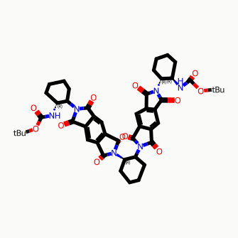 CC(C)(C)OC(=O)N[C@@H]1CCCCC1n1c(=O)c2cc3c(=O)n([C@@H]4CCCCC4n4c(=O)c5cc6c(=O)n([C@@H]7CCCC[C@H]7NC(=O)OC(C)(C)C)c(=O)c6cc5c4=O)c(=O)c3cc2c1=O